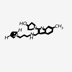 Cc1ccc2cc(CNCCCN3C[C@H]4C5=C4[C@H]53)c(N3CCC(O)CC3)nc2c1